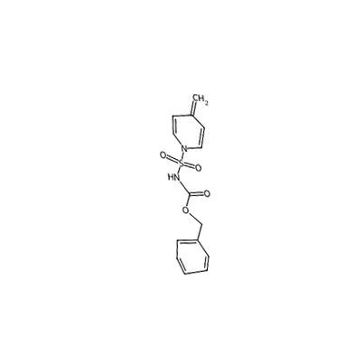 C=C1C=CN(S(=O)(=O)NC(=O)OCc2ccccc2)C=C1